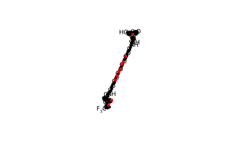 Cc1cc(CO[C@H]2CCCN(CC(=O)NCCOCCOCCOCCOCCOCCOCCOCCOCCOCCOCCOCCNC(=S)Nc3ccc(-c4c5ccc(=O)cc-5oc5cc(O)ccc45)cc3)[C@H]2c2ccccc2)cc(C(F)(F)F)c1